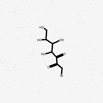 O=C(CBr)C(=O)C(O)C(O)C(O)CO